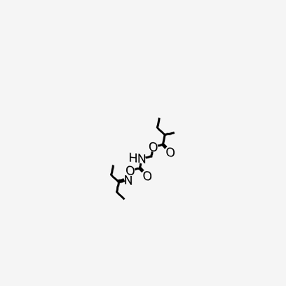 CCC(CC)=NOC(=O)NCOC(=O)C(C)CC